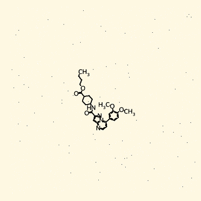 CCCCOC(=O)C1CCC(NC(=O)c2cc3nccc(-c4ccc(OC)c(OC)c4)n3n2)CC1